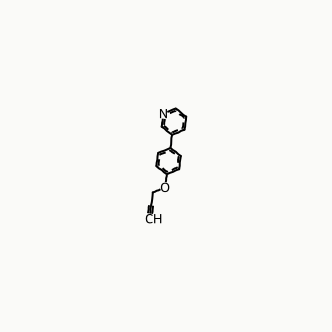 C#CCOc1ccc(-c2cccnc2)cc1